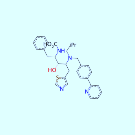 CC(C)CN(Cc1ccc(-c2ccccn2)cc1)C(Cc1cncs1)[C@H](O)[C@H](Cc1ccccc1)NC(=O)O